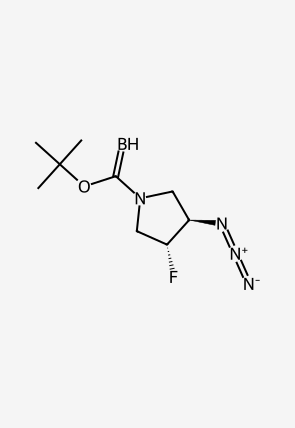 B=C(OC(C)(C)C)N1C[C@@H](F)[C@H](N=[N+]=[N-])C1